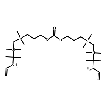 C=C[SiH2]C(C)(C)[Si](C)(C)C[Si](C)(C)CCCOC(=O)OCCC[Si](C)(C)C[Si](C)(C)C(C)(C)[SiH2]C=C